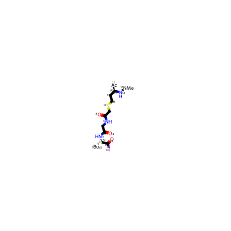 CC[C@H](C)[C@H](NC(=O)CNC(=O)CSCC[C@H](NNC)C(C)=O)C(=O)I